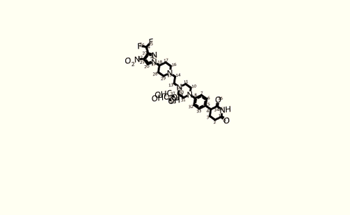 O=C1CCC(c2ccc(N3CCN(CCN4CCC(n5cc([N+](=O)[O-])c(C(F)F)n5)CC4)CC3)cc2)C(=O)N1.O=CO.O=CO